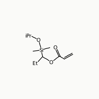 C=CC(=O)OC(CC)[Si](C)(C)OC(C)C